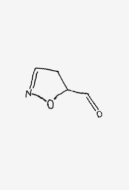 O=CC1CC=NO1